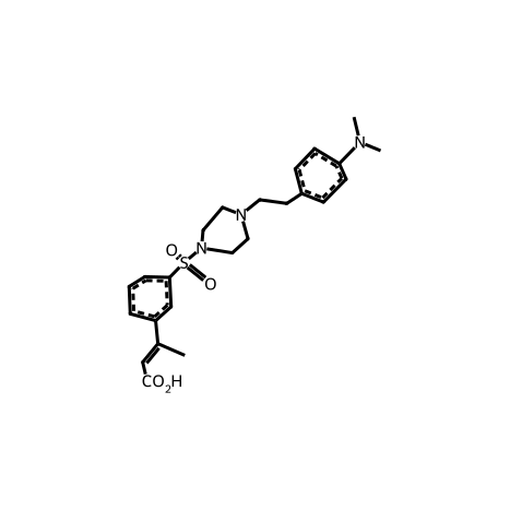 C/C(=C\C(=O)O)c1cccc(S(=O)(=O)N2CCN(CCc3ccc(N(C)C)cc3)CC2)c1